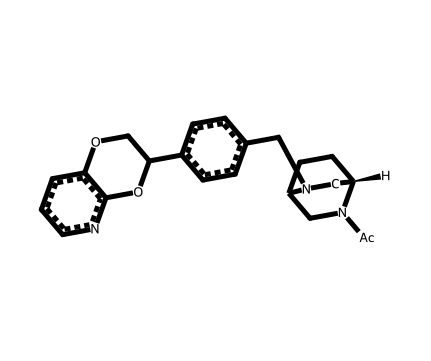 CC(=O)N1CC2CC[C@H]1CN2Cc1ccc(C2COc3cccnc3O2)cc1